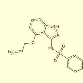 C=CCOc1cccc2[nH]nc(NS(=O)(=O)c3ccccc3)c12